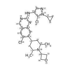 CC1CC(c2cc3nc(Nc4cnn(C5CC5)c4Cl)ncc3cc2Cl)CC(C)N1C1COC1